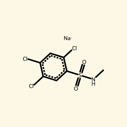 CNS(=O)(=O)c1cc(Cl)c(Cl)cc1Cl.[Na]